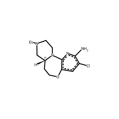 CCN1CCN2c3nc(N)c(Cl)cc3OCC[C@@H]2C1